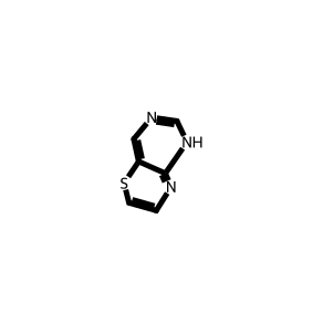 C1=CSC2=CN=CNC2=N1